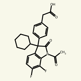 CC(=O)N1C(=O)C(c2ccc(CC(=O)O)cc2)(C2CCCCC2)c2ccc(F)c(F)c21